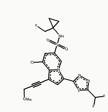 COCC#Cc1cc(-c2nnc(C(F)F)s2)n2cc(S(=O)(=O)NC3(CF)CC3)cc(Cl)c12